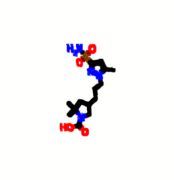 Cc1cc(S(N)(=O)=O)nn1CCCC1CN(C(=O)O)C(C)(C)C1